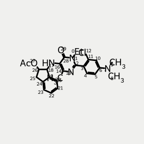 CCn1c(-c2ccc(N(C)C)cc2Cl)nc(C)c(NC2c3ccccc3CC2OC(C)=O)c1=O